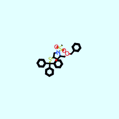 CS(=O)(=O)N1CC(SC(c2ccccc2)(c2ccccc2)c2ccccc2)CC1COCc1ccccc1